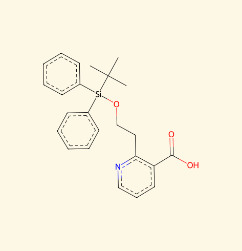 CC(C)(C)[Si](OCCc1ncccc1C(=O)O)(c1ccccc1)c1ccccc1